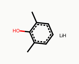 Cc1cccc(C)c1O.[LiH]